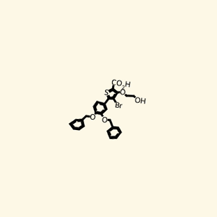 O=C(O)c1sc(-c2ccc(OCc3ccccc3)c(OCc3ccccc3)c2)c(Br)c1OCCO